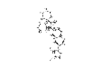 Cc1ncc(-c2ccc3cnc(NC(=O)C4(N5CCOCC5)CCCCC4)cc3c2)n1C